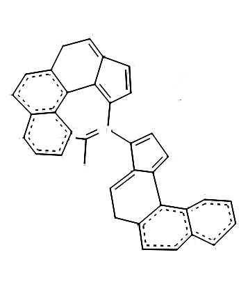 C[C](C)=[Zr+2]([C]1=CC=C2C1=CCc1ccc3ccccc3c12)[C]1=C2C(=CCc3ccc4ccccc4c32)C=C1.[Cl-].[Cl-]